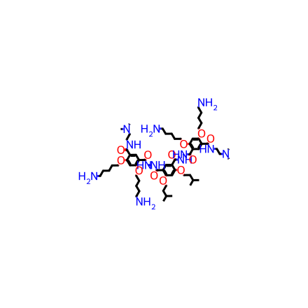 CC(C)CCOc1cc(OCCC(C)C)c(C(=O)NNC(=O)c2cc(C(=O)NCCN(C)C)c(OCCCCCN)cc2OCCCCCN)cc1C(=O)NNC(=O)c1cc(C(=O)NCCN(C)C)c(OCCCCCN)cc1OCCCCCN